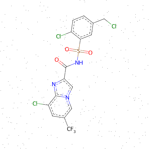 O=C(NS(=O)(=O)c1cc(CCl)ccc1Cl)c1cn2cc(C(F)(F)F)cc(Cl)c2n1